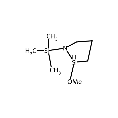 CO[SiH]1CCCN1[Si](C)(C)C